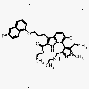 CCNCc1nn(C)c(CC)c1-c1c(Cl)ccc2c(CCCOc3cccc4cc(F)ccc34)c(C(=O)OCC)[nH]c12